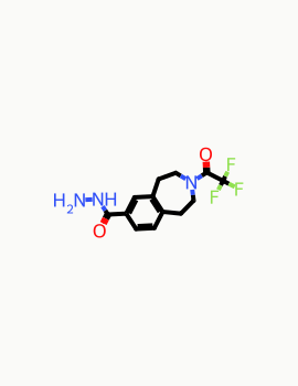 NNC(=O)c1ccc2c(c1)CCN(C(=O)C(F)(F)F)CC2